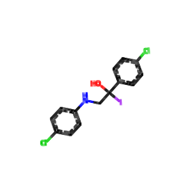 OC(I)(CNc1ccc(Cl)cc1)c1ccc(Cl)cc1